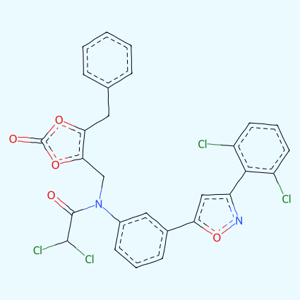 O=C(C(Cl)Cl)N(Cc1oc(=O)oc1Cc1ccccc1)c1cccc(-c2cc(-c3c(Cl)cccc3Cl)no2)c1